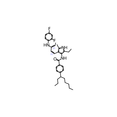 C/C=C(/C=C\c1c(C)[nH]c(CC)c1NC(=O)c1ccc(C(CCC)CCCCC)cc1)Nc1ccc(F)cc1F